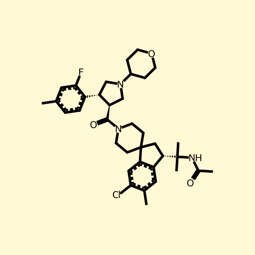 CC(=O)NC(C)(C)[C@H]1CC2(CCN(C(=O)[C@@H]3CN(C4CCOCC4)C[C@H]3c3ccc(C)cc3F)CC2)c2cc(Cl)c(C)cc21